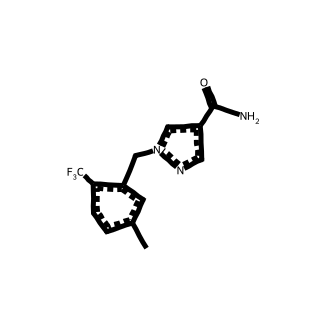 Cc1ccc(C(F)(F)F)c(Cn2cc(C(N)=O)cn2)c1